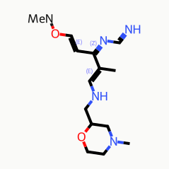 CNO/C=C/C(=N/C=N)C(/C)=C/NCC1CN(C)CCO1